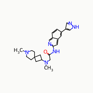 CN1CCC2(CC1)CC(N(C)CC(=O)Nc1cc3cc(-c4cn[nH]c4)ccc3cn1)C2